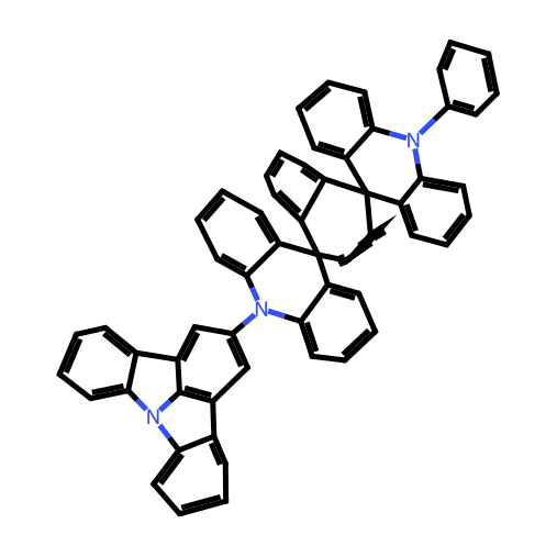 c1ccc(N2c3ccccc3C3(c4ccccc42)c2ccccc2C2(c4ccccc4N(c4cc5c6ccccc6n6c7ccccc7c(c4)c56)c4ccccc42)c2ccccc23)cc1